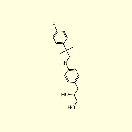 CC(C)(CNc1ccc(CC(O)CO)cn1)c1ccc(F)cc1